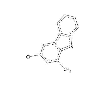 Cc1cc(Cl)cc2c1sc1ccccc12